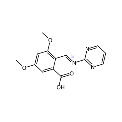 COc1cc(OC)c(/C=N/c2ncccn2)c(C(=O)O)c1